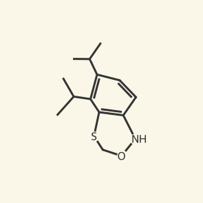 CC(C)c1ccc2c(c1C(C)C)SCON2